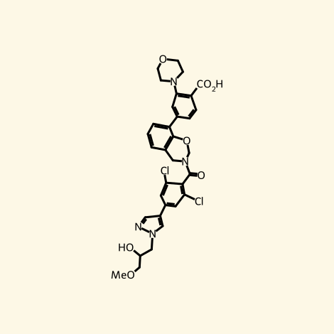 COCC(O)Cn1cc(-c2cc(Cl)c(C(=O)N3COc4c(cccc4-c4ccc(C(=O)O)c(N5CCOCC5)c4)C3)c(Cl)c2)cn1